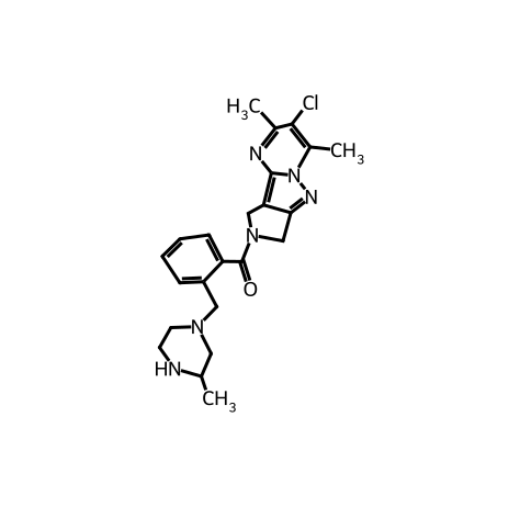 Cc1nc2c3c(nn2c(C)c1Cl)CN(C(=O)c1ccccc1CN1CCNC(C)C1)C3